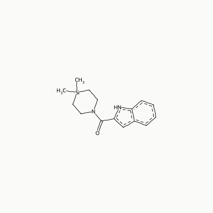 C[Si]1(C)CCN(C(=O)c2cc3ccccc3[nH]2)CC1